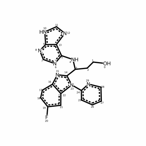 OCCC(Nc1ncnc2[nH]cnc12)c1nc2ccc(F)cc2n1-c1ccccn1